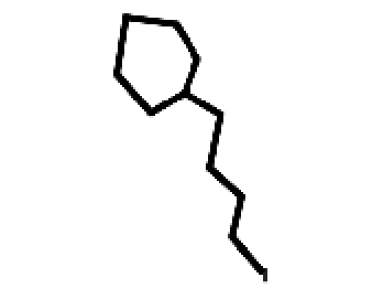 ICCCCC1CCCCC1